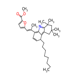 CCCCCCCCC1C=CC(/C(C)=C/c2ccc(C(=O)OC)o2)=C2N=C3C(=C21)CC(C)(C)CC3(C)C